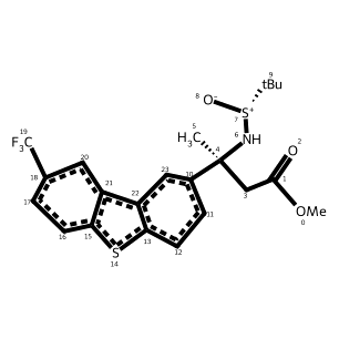 COC(=O)C[C@](C)(N[S@+]([O-])C(C)(C)C)c1ccc2sc3ccc(C(F)(F)F)cc3c2c1